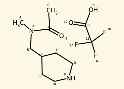 CC(=O)N(C)CC1CCNCC1.O=C(O)C(F)(F)F